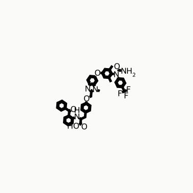 Cc1cc(Oc2ccc3nc(COc4ccc(CC(Nc5ccccc5C(=O)c5ccccc5)C(=O)O)cc4)n(C)c3c2)cc(C)c1N(C(N)=O)c1ccc(C(F)(F)F)cc1